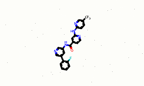 O=C(Nc1cncc(-c2ccccc2F)c1)c1ccnc(Nc2ccc(C(F)(F)F)cn2)c1